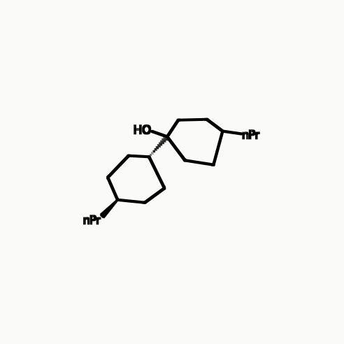 CCCC1CCC(O)([C@H]2CC[C@H](CCC)CC2)CC1